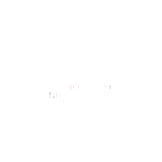 CC/C=C(O)\C=C/C(C)CCN